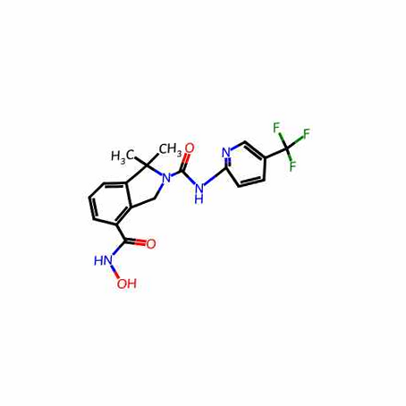 CC1(C)c2cccc(C(=O)NO)c2CN1C(=O)Nc1ccc(C(F)(F)F)cn1